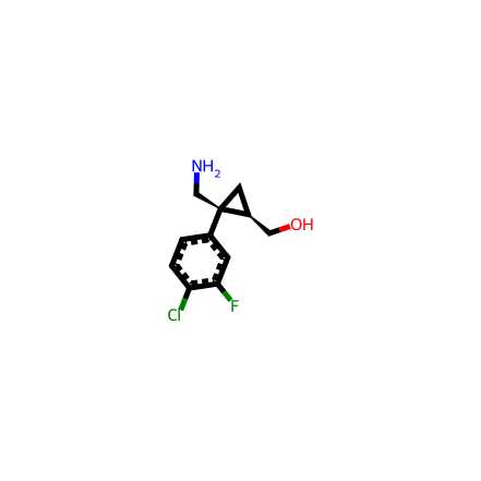 NC[C@@]1(c2ccc(Cl)c(F)c2)C[C@H]1CO